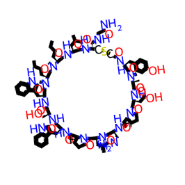 CCCC[C@H]1C(=O)N(C)[C@@H](CCCC)C(=O)N[C@@H](CC(C)C)C(=O)N[C@H](C(=O)NCC(N)=O)CSCC(=O)N[C@@H](Cc2ccc(O)cc2)C(=O)N(C)[C@@H](C)C(=O)N[C@@H](CC(=O)O)C(=O)N2CCC[C@H]2C(=O)N[C@@H](CN)C(=O)N[C@@H](CC(C)C)C(=O)N2CCC[C@H]2C(=O)N[C@@H](Cc2c[nH]c3ccccc23)C(=O)N[C@@H](CO)C(=O)N[C@@H](Cc2c[nH]c3ccccc23)C(=O)N1C